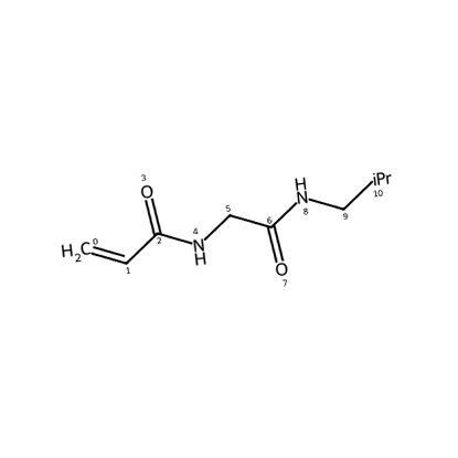 C=CC(=O)NCC(=O)NCC(C)C